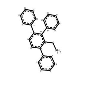 PCc1c(-c2ccccc2)ccc(-c2ccccc2)c1-c1ccccc1